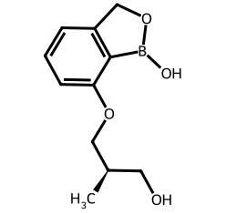 C[C@H](CO)COc1cccc2c1B(O)OC2